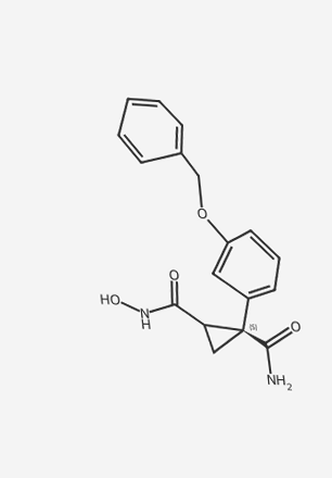 NC(=O)[C@@]1(c2cccc(OCc3ccccc3)c2)CC1C(=O)NO